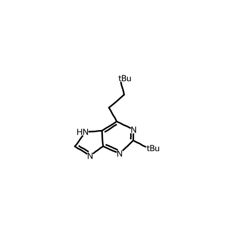 CC(C)(C)CCc1nc(C(C)(C)C)nc2nc[nH]c12